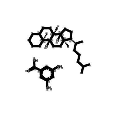 CC(C)CCCC(C)[C@H]1CC[C@H]2[C@@H]3CCC4CCCC[C@]4(C)[C@H]3CC[C@]12C.Nc1cc(N)cc(C(=O)O)c1